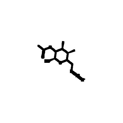 CC(=O)OC1[C@@H](C)[C@H](C)C(CN=[N+]=[N-])O[C@@H]1O